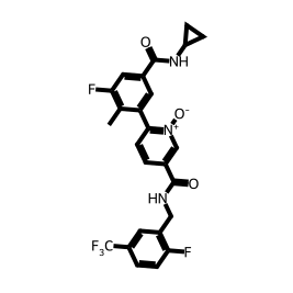 Cc1c(F)cc(C(=O)NC2CC2)cc1-c1ccc(C(=O)NCc2cc(C(F)(F)F)ccc2F)c[n+]1[O-]